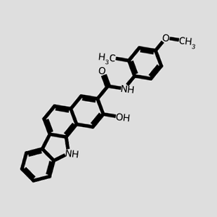 COc1ccc(NC(=O)c2cc3ccc4c5ccccc5[nH]c4c3cc2O)c(C)c1